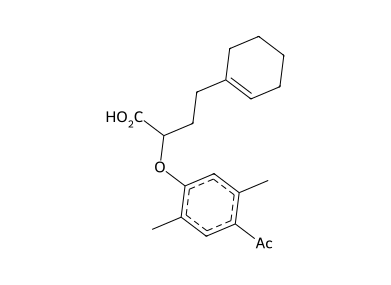 CC(=O)c1cc(C)c(OC(CCC2=CCCCC2)C(=O)O)cc1C